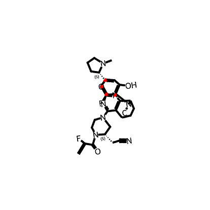 C=C(F)C(=O)N1CCN(c2nc(OC[C@@H]3CCCN3C)nc3c2C2CCC3N(c3c(O)cccc3F)C2)C[C@@H]1CC#N